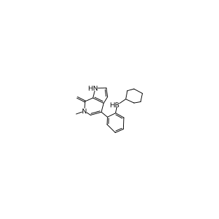 C=C1c2[nH]ccc2C(c2ccccc2BC2CCCCC2)=CN1C